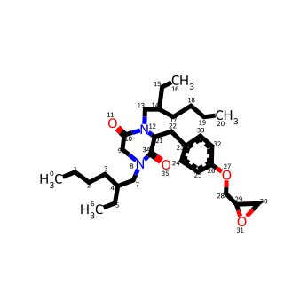 CCCCC(CC)CN1CC(=O)N(CC(CC)CCCC)C(Cc2ccc(OCC3CO3)cc2)C1=O